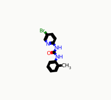 Cc1ccccc1NC(=O)Nc1ccc(Br)cn1